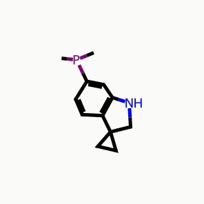 CP(C)c1ccc2c(c1)NCC21CC1